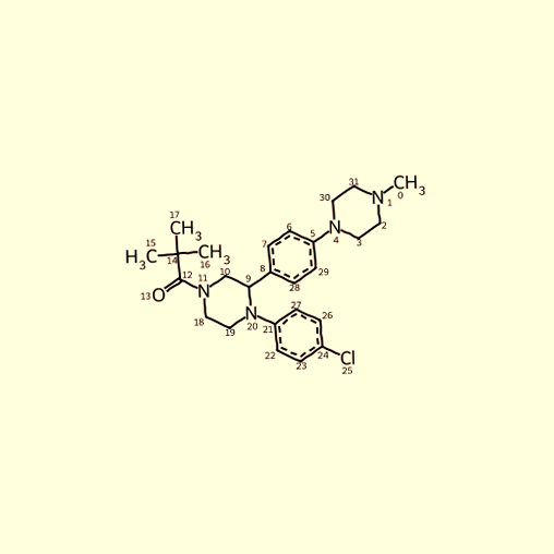 CN1CCN(c2ccc(C3CN(C(=O)C(C)(C)C)CCN3c3ccc(Cl)cc3)cc2)CC1